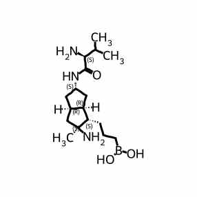 CC(C)[C@H](N)C(=O)N[C@H]1C[C@@H]2C[C@](C)(N)[C@@H](CCCB(O)O)[C@@H]2C1